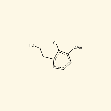 COc1cccc(CCO)c1Cl